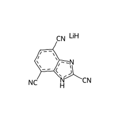 N#Cc1nc2c(C#N)ccc(C#N)c2[nH]1.[LiH]